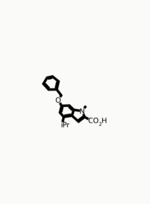 CC(C)c1cc(OCc2ccccc2)cc2c1cc(C(=O)O)n2C